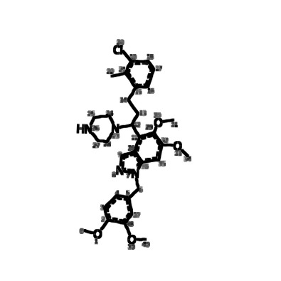 COc1ccc(Cn2ncc3c(C(CCc4cccc(Cl)c4C)N4CCNCC4)c(OC)c(OC)cc32)cc1OC